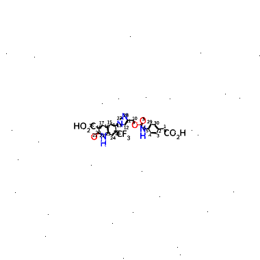 O=C(O)Cc1ccc(NC(=O)OCc2cn(-c3cc4cc(C(=O)O)c(=O)[nH]c4cc3C(F)(F)F)cn2)cc1